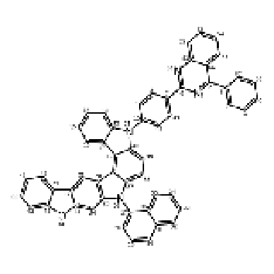 c1ccc(-c2nc(-c3ccc(-n4c5ccccc5c5c6c7cc8c(cc7n(-c7cccc9ccccc79)c6ccc54)oc4ccccc48)cc3)nc3ccccc23)cc1